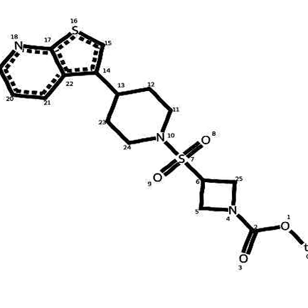 CC(C)(C)OC(=O)N1CC(S(=O)(=O)N2CCC(c3csc4ncccc34)CC2)C1